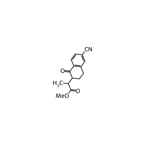 COC(=O)C(C)C1CCc2cc(C#N)ccc2C1=O